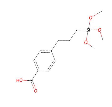 CO[Si](CCCc1ccc(C(=O)O)cc1)(OC)OC